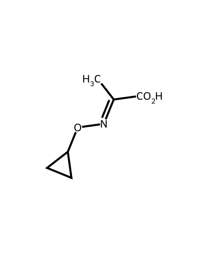 CC(=NOC1CC1)C(=O)O